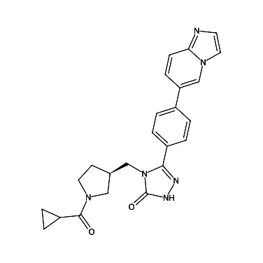 O=C(C1CC1)N1CC[C@@H](Cn2c(-c3ccc(-c4ccc5nccn5c4)cc3)n[nH]c2=O)C1